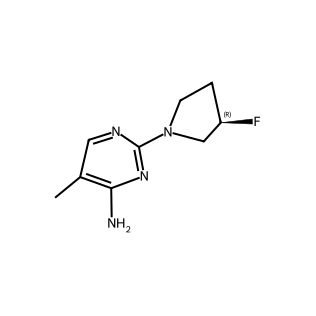 Cc1cnc(N2CC[C@@H](F)C2)nc1N